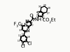 CCOC(=O)c1c(NC(=O)c2cc3nc(-c4ccc(Cl)c(Cl)c4)cc(C(F)(F)F)n3n2)sc2c1CCCC2